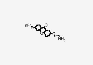 CCCOc1ccc2c(=O)c3cc(OCCN)ccc3oc2c1